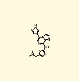 CN(C)Cc1cnc(Nc2ncc(-c3cn[nH]c3)n3ccnc23)s1